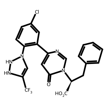 O=C(O)[C@H](Cc1ccccc1)n1cnc(-c2cc(Cl)ccc2N2C=C(C(F)(F)F)NN2)cc1=O